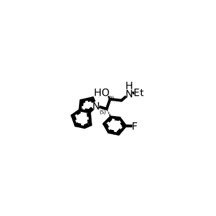 CCNC[C@@H](O)[C@H](c1cccc(F)c1)n1ccc2ccccc21